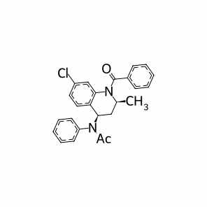 CC(=O)N(c1ccccc1)[C@@H]1C[C@H](C)N(C(=O)c2ccccc2)c2cc(Cl)ccc21